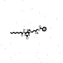 CCCCCCCC(=O)Nc1nc(Cl)nc2c1ncn2CCC(COC(=O)C12CCC(CC1)CC2)OC